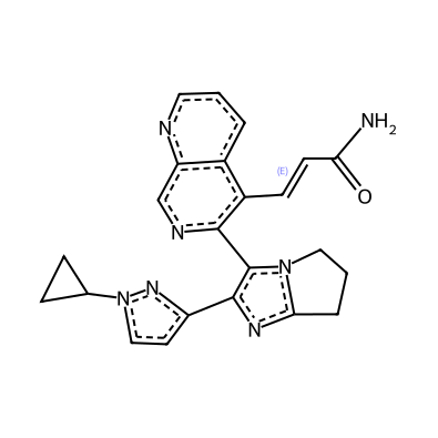 NC(=O)/C=C/c1c(-c2c(-c3ccn(C4CC4)n3)nc3n2CCC3)ncc2ncccc12